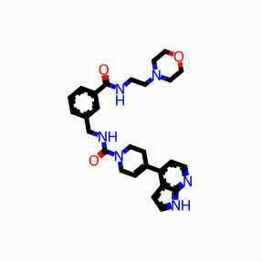 O=C(NCCN1CCOCC1)c1cccc(CNC(=O)N2CC=C(c3ccnc4[nH]ccc34)CC2)c1